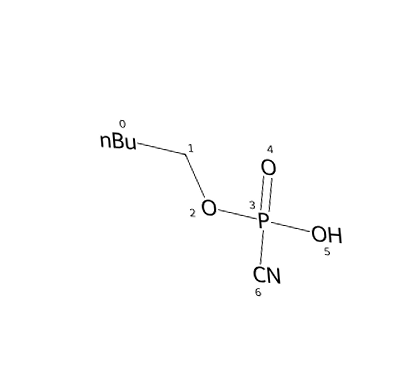 CCCCCOP(=O)(O)C#N